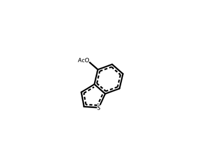 CC(=O)Oc1cccc2sccc12